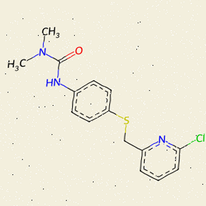 CN(C)C(=O)Nc1ccc(SCc2cccc(Cl)n2)cc1